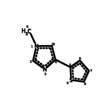 Cn1cnc(-c2cccs2)c1